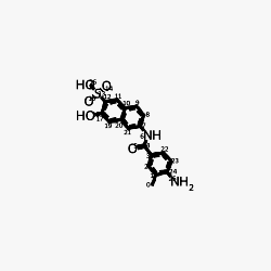 Cc1cc(C(=O)Nc2ccc3cc(S(=O)(=O)O)c(O)cc3c2)ccc1N